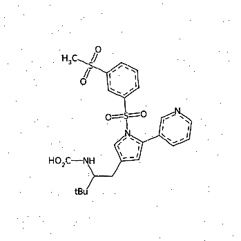 CC(C)(C)C(Cc1cc(-c2cccnc2)n(S(=O)(=O)c2cccc(S(C)(=O)=O)c2)c1)NC(=O)O